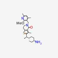 COc1nc(C)cc(C)c1CN1CCc2sc([C@H](C)[C@H]3CC[C@H](N)CC3)c(C)c2C1=O